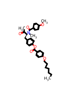 CCCCCCCOc1ccc(C(=O)Oc2ccc(C[C@@H](C(C)=O)N(C)C(=O)c3ccc(OC)cc3)cc2)cc1